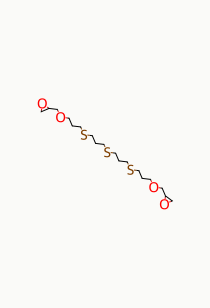 C(COCC1CO1)CSCCCSCCCSCCCOCC1CO1